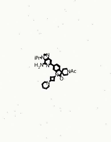 CC(=O)N1CCC2(CC1)C(=O)N(C1CC(N3CCCCC3)C1)c1cc(-c3cc4ncn(C(C)C)c4c(N)n3)ccc12